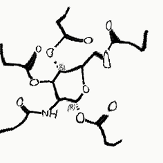 CCC(=O)NC1C(OC(=O)CC)[C@H](OC(=O)CC)C(COC(=O)CC)O[C@@H]1OC(=O)CC